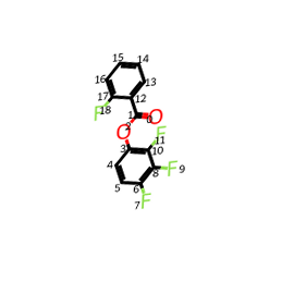 O=C(Oc1ccc(F)c(F)c1F)c1ccccc1F